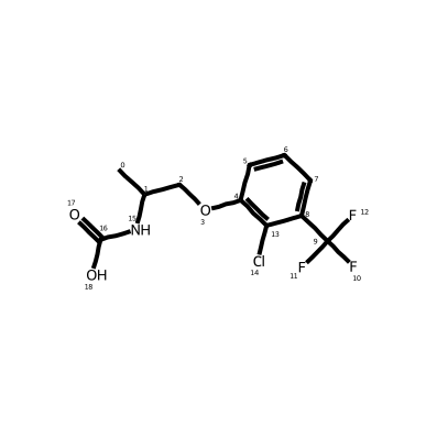 CC(COc1cccc(C(F)(F)F)c1Cl)NC(=O)O